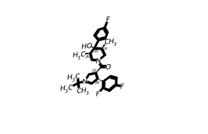 C[C@@H]1CN(C(=O)[C@@H]2CN(C(C)(C)C)C[C@H]2c2ccc(F)cc2F)C[C@H](C)[C@]1(O)c1ccc(F)cc1